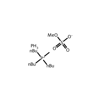 CCCC[P+](C)(CCCC)CCCC.COS(=O)(=O)[O-].P